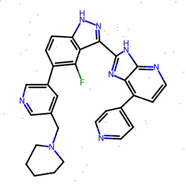 Fc1c(-c2cncc(CN3CCCCC3)c2)ccc2[nH]nc(-c3nc4c(-c5ccncc5)ccnc4[nH]3)c12